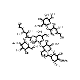 CO[C@H](OC[C@H](O)C(CO[C@H]1OC(CO)[C@@H](O)C(O)C1O[C@@H]1OC(CO)[C@@H](O)C(O)C1NC(C)=O)O[C@H](CO)O[C@@H]1C(CO)O[C@@H](O[C@@H]2C(CO)O[C@@H](C)C(NC(C)=O)C2O)C(NC(C)=O)C1O)C(O[C@@H]1OC(CO)[C@@H](O)C(O)C1NC(C)=O)C(O)[C@H](O)CCO